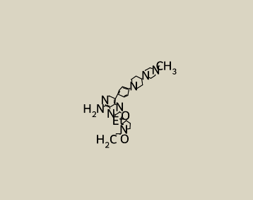 C=CC(=O)N1CCC(Oc2nc3c(-c4ccc(N5CCC(N6CCN(C)CC6)CC5)cc4)cnc(N)c3nc2CC)C1